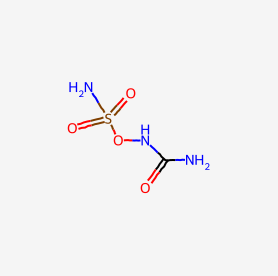 NC(=O)NOS(N)(=O)=O